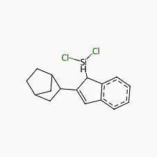 Cl[SiH](Cl)C1C(C2CC3CCC2C3)=Cc2ccccc21